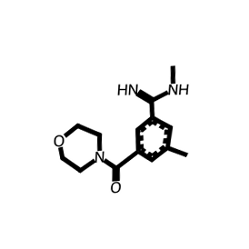 CNC(=N)c1cc(C)cc(C(=O)N2CCOCC2)c1